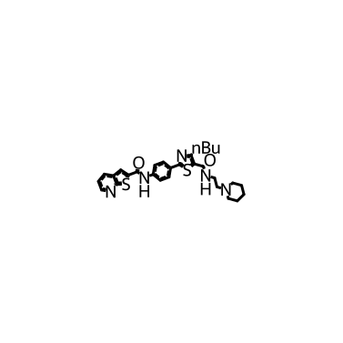 CCCCc1nc(-c2ccc(NC(=O)c3cc4cccnc4s3)cc2)sc1C(=O)NCCN1CCCCC1